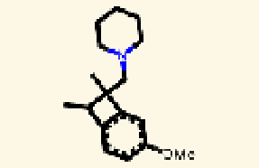 COc1ccc2c(c1)C(C)(CN1CCCCC1)C2C